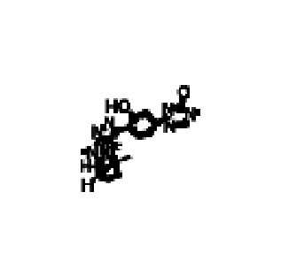 CN(c1nnc(-c2ccc(-c3ncn(C)c(=O)n3)cc2O)s1)[C@@H]1[C@@H]2CC[C@@](C)(NC2)[C@H]1F